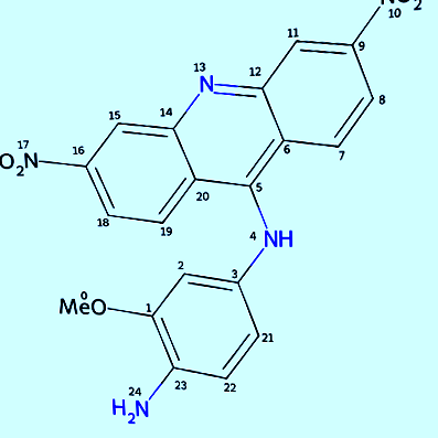 COc1cc(Nc2c3ccc([N+](=O)[O-])cc3nc3cc([N+](=O)[O-])ccc23)ccc1N